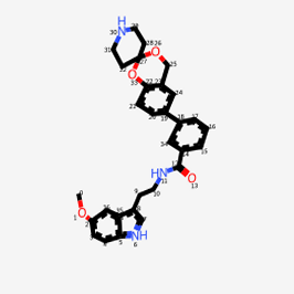 COc1ccc2[nH]cc(CCNC(=O)c3cccc(-c4ccc5c(c4)COC4(CCNCC4)O5)c3)c2c1